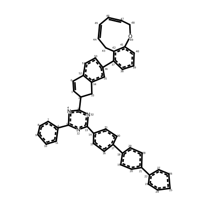 C1=CC(c2nc(-c3ccccc3)nc(-c3ccc(-c4ccc(-c5ccccc5)cc4)cc3)n2)Cc2cc(-c3cccc4c3C/C=C\C=C/CO4)ccc21